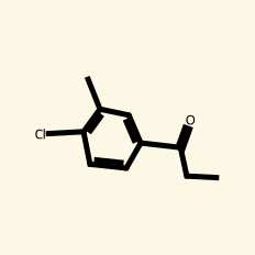 CCC(=O)c1ccc(Cl)c(C)c1